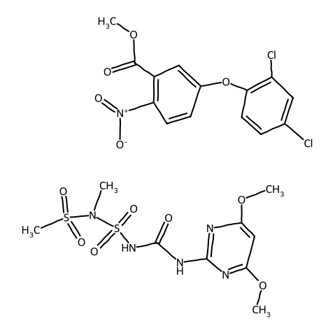 COC(=O)c1cc(Oc2ccc(Cl)cc2Cl)ccc1[N+](=O)[O-].COc1cc(OC)nc(NC(=O)NS(=O)(=O)N(C)S(C)(=O)=O)n1